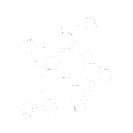 O=C1c2ccccc2C(=O)c2c(NCCN3CCOC3c3ccco3)c(NCCN3CCOC3c3ccco3)c(NCCN3CCOC3c3ccco3)c(NCCN3CCOC3c3ccco3)c21